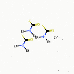 CCN(CC)C(=S)[S-].CCN(CC)C(=S)[S-].CCN(CC)C(=S)[S-].[Zr+3]